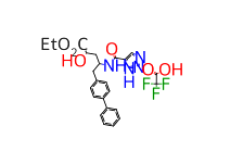 CCOC(=O)[C@H](O)CC(Cc1ccc(-c2ccccc2)cc1)NC(=O)c1cnn[nH]1.O=C(O)C(F)(F)F